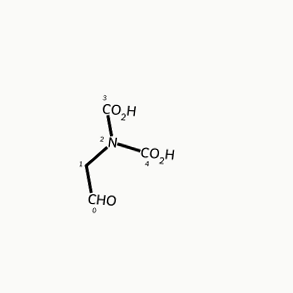 O=CCN(C(=O)O)C(=O)O